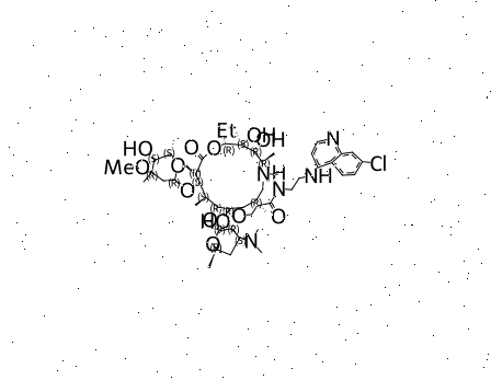 CC[C@H]1OC(=O)[C@H](C)[C@@H](O[C@H]2C[C@@](C)(OC)[C@@H](O)[C@H](C)O2)[C@H](C)[C@@H](O[C@@H]2O[C@H](C)C[C@H](N(C)C)[C@H]2OCCC(=O)NCCNc2ccnc3cc(Cl)ccc23)[C@](C)(O)C[C@@H](C)CN(C)[C@H](C)[C@@H](O)[C@]1(C)O